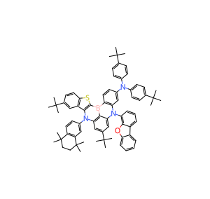 CC(C)(C)c1ccc(N(c2ccc(C(C)(C)C)cc2)c2ccc3c(c2)N(c2cccc4c2oc2ccccc24)c2cc(C(C)(C)C)cc4c2B3c2sc3ccc(C(C)(C)C)cc3c2N4c2ccc3c(c2)C(C)(C)CCC3(C)C)cc1